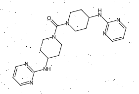 O=C(N1CCC(Nc2ncccn2)CC1)N1CCC(Nc2ncccn2)CC1